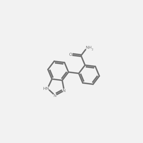 NC(=O)c1ccccc1-c1cccc2[nH]nnc12